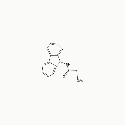 CC(=O)OCC(=O)NC1c2ccccc2-c2ccccc21